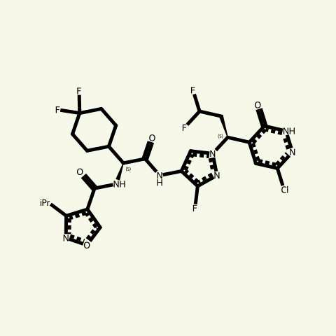 CC(C)c1nocc1C(=O)N[C@H](C(=O)Nc1cn([C@@H](CC(F)F)c2cc(Cl)n[nH]c2=O)nc1F)C1CCC(F)(F)CC1